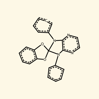 c1ccc(N2c3nccnc3N(c3ccccc3)C23Oc2ccccc2O3)cc1